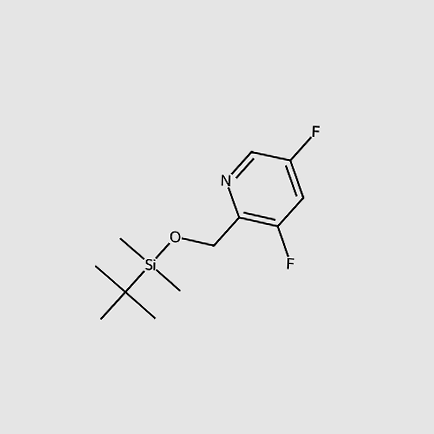 CC(C)(C)[Si](C)(C)OCc1ncc(F)cc1F